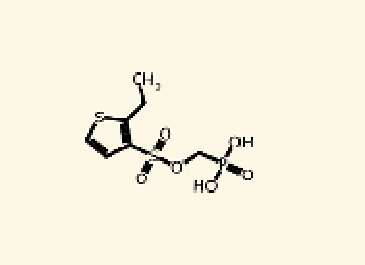 CCc1sccc1S(=O)(=O)OCP(=O)(O)O